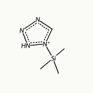 C[Si](C)(C)[n+]1cnn[nH]1